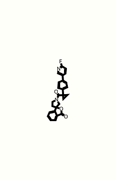 O=C1OC2(CCN(C(=O)C3(c4ccc(-c5ccc(F)nc5)cc4)CC3)C2)c2ccccc21